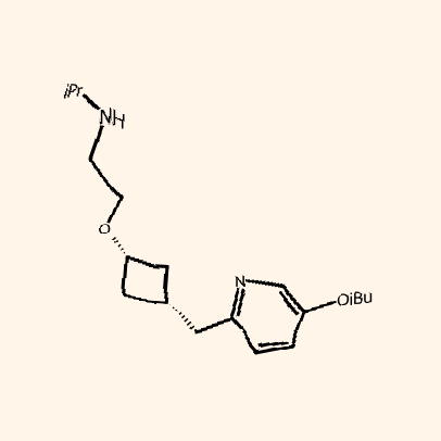 CC(C)COc1ccc(C[C@H]2C[C@@H](OCCNC(C)C)C2)nc1